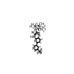 CC(C)(C)[Si](C)(C)O[C@@H]1CN2C[C@H]1Nc1nc(-c3cncc(C(F)(F)F)c3)ccc12